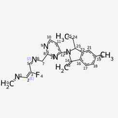 C=N/C=C(F)\C=N/Cc1nccc(N2C(=C)c3ccc(C)cc3C2CC)n1